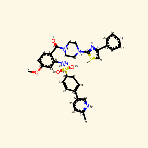 COc1ccc(C(=O)N2CCN(c3nc(-c4ccccc4)cs3)CC2)c(NS(=O)(=O)C2C=CC(c3ccc(C)nc3)=CC2)c1